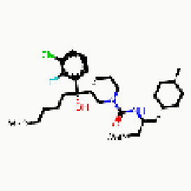 CNC[C@H](C[C@H]1CC[C@H](C)CC1)NC(=O)N1CCC[C@@H]([C@@](O)(CCCCOC)c2cccc(Cl)c2F)C1